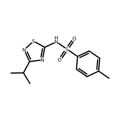 Cc1ccc(S(=O)(=O)Nc2nc(C(C)C)ns2)cc1